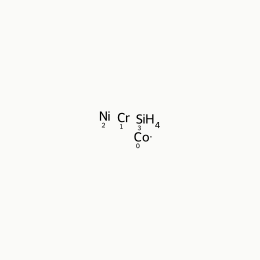 [Co].[Cr].[Ni].[SiH4]